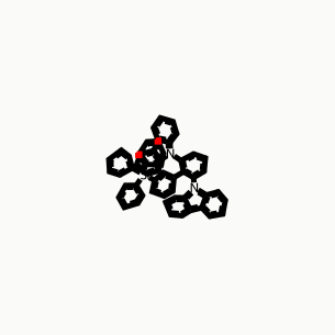 c1ccc([Si](c2ccccc2)(c2ccccc2)c2cccc(-c3c(-n4c5ccccc5c5ccccc54)cccc3-n3c4ccccc4c4ccccc43)c2)cc1